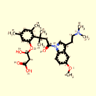 COc1ccc2c(c1)c(CCN(C)C)cn2C(=O)CC(C)(C)c1c(C)cc(C)cc1OC(O)CC(=O)O